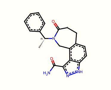 C[C@H](c1ccccc1)N1Cc2c(ccc3[nH]nc(C(N)=O)c23)C[CH]C1=O